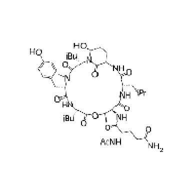 CCC(C)[C@@H]1NC(=O)[C@H](Cc2ccc(O)cc2)N(C)C(=O)[C@H](C(C)CC)N2C(=O)C(CC[C@@H]2O)NC(=O)[C@H](CC(C)C)NC(=O)[C@@H](NC(=O)[C@H](CCC(N)=O)NC(C)=O)[C@@H](C)OC1=O